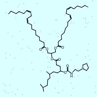 CCCCC/C=C\C/C=C\CCCCCCCC(=O)OCC(COC(=O)CCCCCCC/C=C\C/C=C\CCCCC)OC(=O)CCC(CCC(C)CCCC(C)C)OC(=O)NCCN1CCCC1